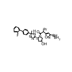 BBc1cc(C(C(=O)N2C[C@H](O)C[C@H]2C2=NOC(C)(c3ccc(-c4ccccc4F)cc3)N2)C(C)C)on1